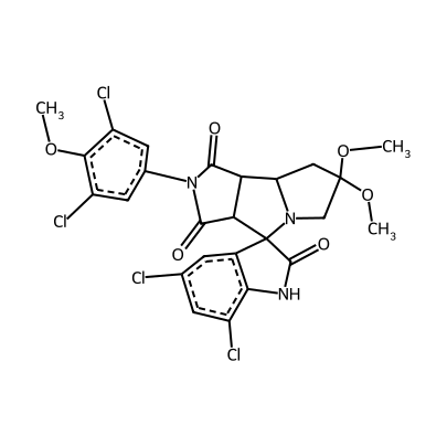 COc1c(Cl)cc(N2C(=O)C3C4CC(OC)(OC)CN4C4(C(=O)Nc5c(Cl)cc(Cl)cc54)C3C2=O)cc1Cl